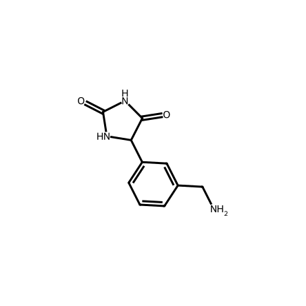 NCc1cccc(C2NC(=O)NC2=O)c1